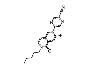 CCCCCn1ccc2cc(-c3cnc(C#N)cn3)c(F)cc2c1=O